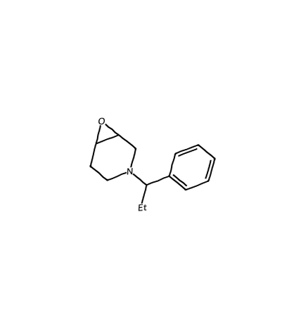 CCC(c1ccccc1)N1CCC2OC2C1